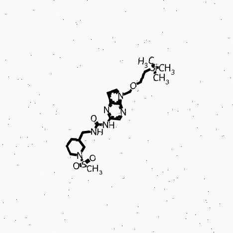 C[Si](C)(C)CCOCn1ccc2nc(NC(=O)NCC3CCCN(S(C)(=O)=O)C3)cnc21